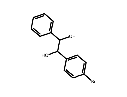 OC(c1ccccc1)C(O)c1ccc(Br)cc1